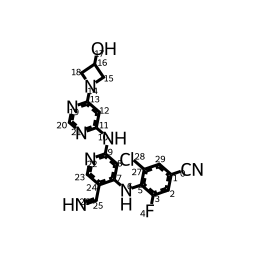 N#Cc1cc(F)c(Nc2cc(Nc3cc(N4CC(O)C4)ncn3)ncc2C=N)c(Cl)c1